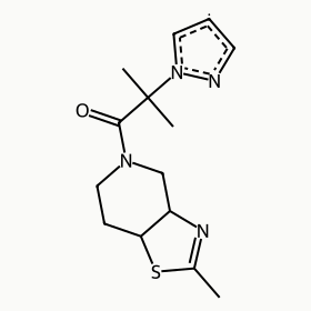 CC1=NC2CN(C(=O)C(C)(C)n3c[c]cn3)CCC2S1